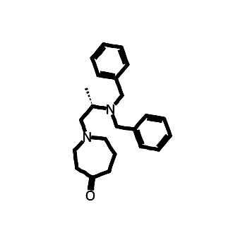 C[C@@H](CN1CCCC(=O)CC1)N(Cc1ccccc1)Cc1ccccc1